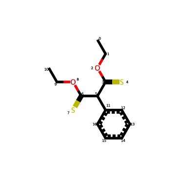 CCOC(=S)C(C(=S)OCC)c1ccccc1